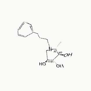 C[C@@H]1[C@@H](O)[C@H](O)[C@@H](O)CN1CCCc1ccccc1